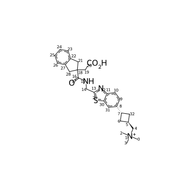 C[N+](C)(C)C[C@H]1C[C@H](c2ccc3nc(CNC(=O)C4(CC(=O)O)Cc5ccccc5C4)sc3c2)C1